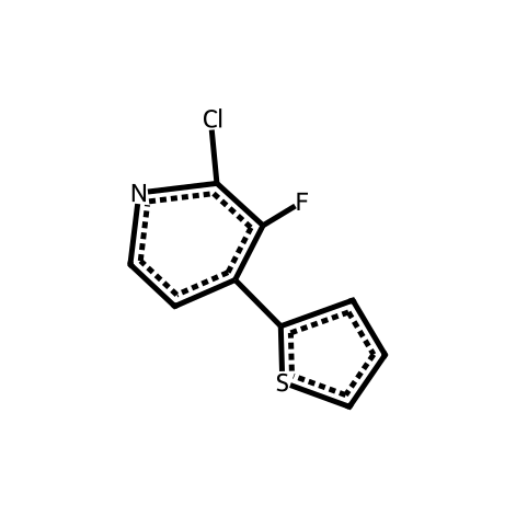 Fc1c(-c2cccs2)ccnc1Cl